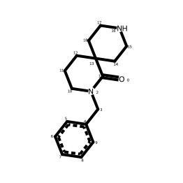 O=C1N(Cc2ccccc2)CCCC12CCNCC2